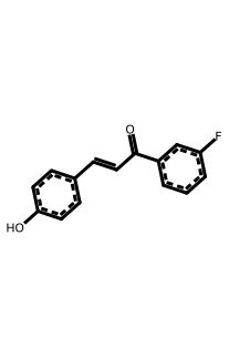 O=C(C=Cc1ccc(O)cc1)c1cccc(F)c1